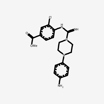 COC(=O)c1ccc(NC(=N)N2CCN(c3ccc(N)cc3)CC2)c(Cl)c1